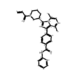 C=CC(=O)N1CCC[C@@H](c2nc(-c3ccc(C(=O)Nc4ccccn4)cc3)c3c(C)ncc(C)n23)C1